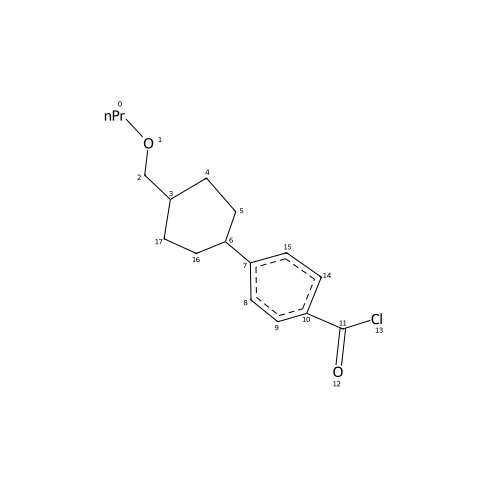 CCCOCC1CCC(c2ccc(C(=O)Cl)cc2)CC1